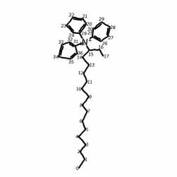 CCCCCCCCCCCCCCCC(CC)[N+](c1ccccc1)(c1ccccc1)c1ccccc1